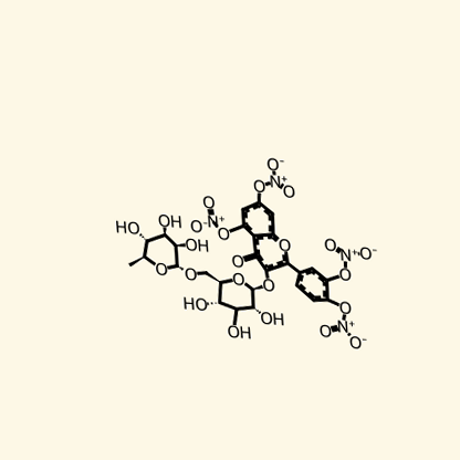 C[C@@H]1O[C@@H](OC[C@H]2O[C@@H](Oc3c(-c4ccc(O[N+](=O)[O-])c(O[N+](=O)[O-])c4)oc4cc(O[N+](=O)[O-])cc(O[N+](=O)[O-])c4c3=O)[C@H](O)C(O)[C@@H]2O)[C@H](O)[C@H](O)[C@H]1O